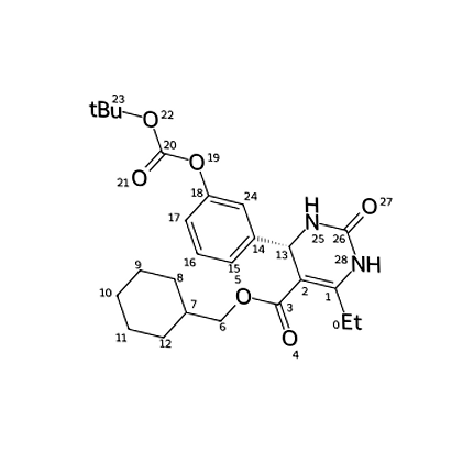 CCC1=C(C(=O)OCC2CCCCC2)[C@H](c2cccc(OC(=O)OC(C)(C)C)c2)NC(=O)N1